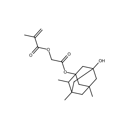 C=C(C)C(=O)OCC(=O)OC12CC3(C)CC(O)(CC(C)(C3)C1C)C2